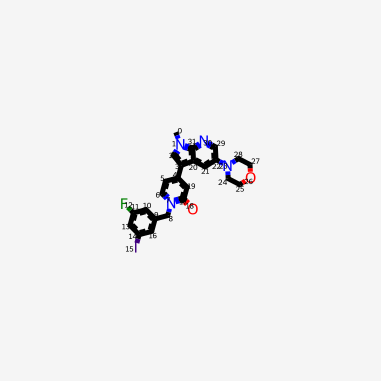 Cn1cc(-c2ccn(Cc3cc(F)cc(I)c3)c(=O)c2)c2cc(N3CCOCC3)cnc21